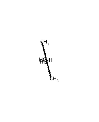 CCCCCCCCCCCCCCCCCC(O)NC(O)CCCCCCCCCCCCCCCCC